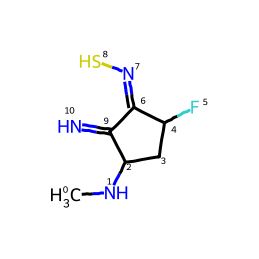 CNC1CC(F)/C(=N/S)C1=N